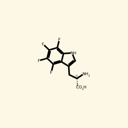 N[C@@H](Cc1c[nH]c2c(F)c(F)c(F)c(F)c12)C(=O)O